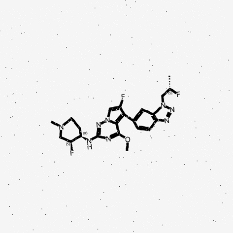 COc1nc(N[C@@H]2CCN(C)C[C@@H]2F)nn2cc(F)c(-c3ccc4nnn(C[C@H](C)F)c4c3)c12